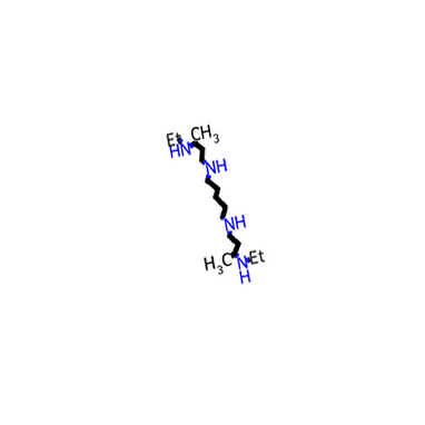 CCNC(C)CCNCCCCCNCCC(C)NCC